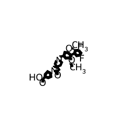 CCOc1cc(CN2CCC3(CC2)CC(=O)N(c2ccc(C(=O)O)cc2)C3)cc(OCC)c1-c1cc(F)cc(F)c1